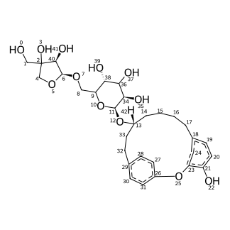 OCC1(O)CO[C@H](OCC2O[C@H](O[C@@H]3CCCCc4ccc(O)c(c4)Oc4ccc(cc4)CC3)[C@H](O)C(O)[C@H]2O)[C@@H]1O